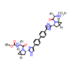 CC(C)[C@@H](NC(=O)O)C(=O)N1[C@@H]2C[C@@H]2C[C@H]1c1nc(-c2ccc(-c3ccc(-c4c[nH]c([C@@H]5C[C@H]6C[C@H]6N5C(=O)[C@H](NC(=O)OC(C)(C)C)C(C)C)n4)cc3)cc2)c[nH]1